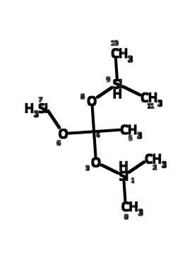 C[SiH](C)OC(C)(O[SiH3])O[SiH](C)C